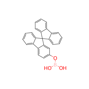 OB(O)Oc1ccc2c(c1)C1(c3ccccc3-c3ccccc31)c1ccccc1-2